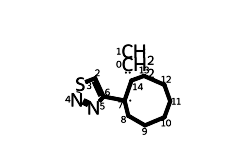 [CH2].[CH2].c1snnc1[C]1CCCCCCC1